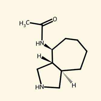 CC(=O)N[C@H]1CCCC[C@H]2CNC[C@@H]21